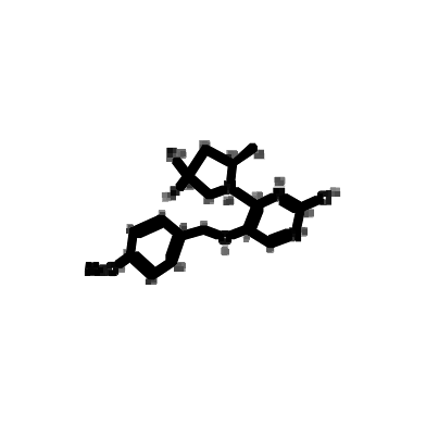 COc1ccc(COc2cnc(Cl)nc2N2CC(F)(F)C[C@H]2C)cc1